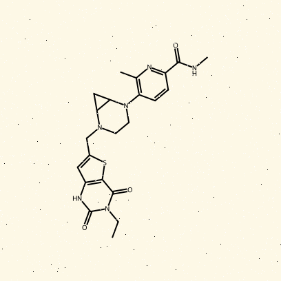 CCn1c(=O)[nH]c2cc(CN3CCN(c4ccc(C(=O)NC)nc4C)C4CC43)sc2c1=O